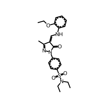 CCOc1ccccc1N/C=C1\C(=O)N(c2ccc(S(=O)(=O)N(CC)CC)cc2)N=C1C